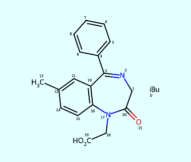 CC[C@H](C)C1N=C(c2ccccc2)c2cc(C)ccc2N(CC(=O)O)C1=O